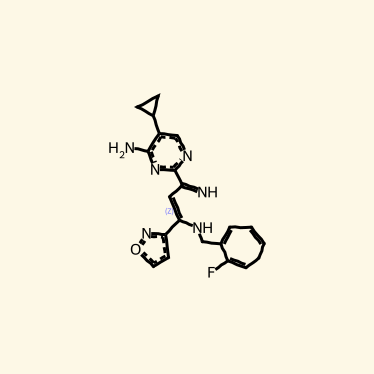 N=C(/C=C(\NCC1=CC=CCC=C1F)c1ccon1)c1ncc(C2CC2)c(N)n1